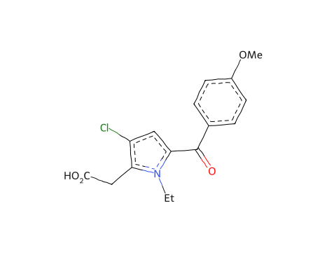 CCn1c(C(=O)c2ccc(OC)cc2)cc(Cl)c1CC(=O)O